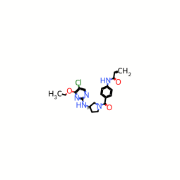 C=CC(=O)Nc1ccc(C(=O)N2CC[C@@H](Nc3ncc(Cl)c(OCC)n3)C2)cc1